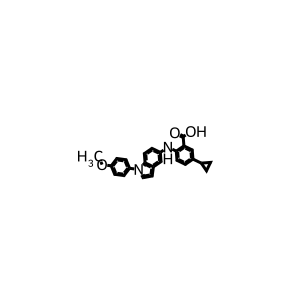 COc1ccc(-n2ccc3cc(Nc4ccc(C5CC5)cc4C(=O)O)ccc32)cc1